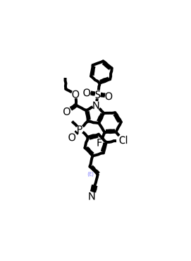 CCOC(=O)c1c(P(C)(=O)c2cc(C)cc(/C=C/C#N)c2)c2c(F)c(Cl)ccc2n1S(=O)(=O)c1ccccc1